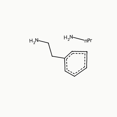 CCCN.NCCc1ccccc1